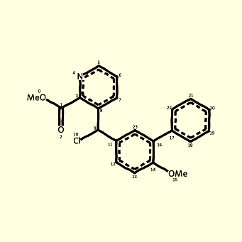 COC(=O)c1ncccc1C(Cl)c1ccc(OC)c(-c2ccccc2)c1